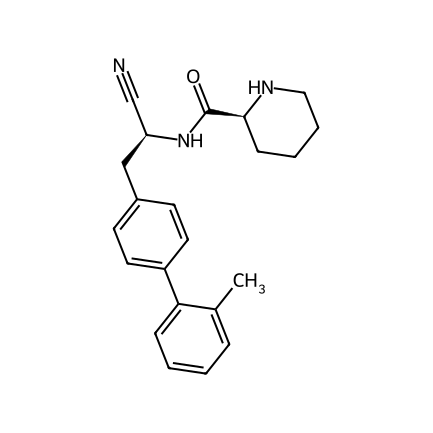 Cc1ccccc1-c1ccc(C[C@@H](C#N)NC(=O)[C@@H]2CCCCN2)cc1